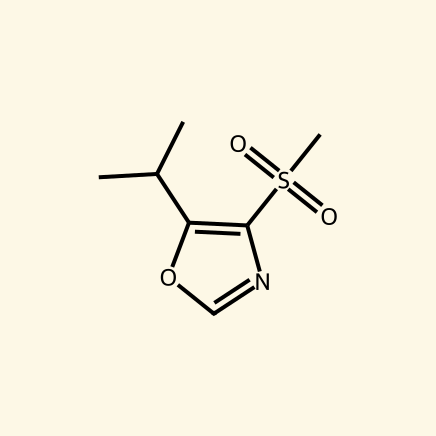 CC(C)c1ocnc1S(C)(=O)=O